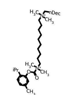 CCCCCCCCCCC[N+](C)(C)CCCCCCCCCC[N+](C)(C)C(=O)Oc1cc(C)ccc1C(C)C